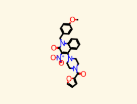 COc1ccc(Cn2c(=O)c([N+](=O)[O-])c(N3CCN(C(=O)c4ccco4)CC3)c3ccccc32)cc1